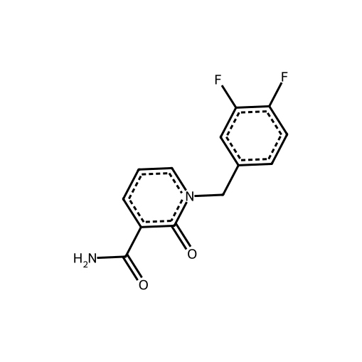 NC(=O)c1cccn(Cc2ccc(F)c(F)c2)c1=O